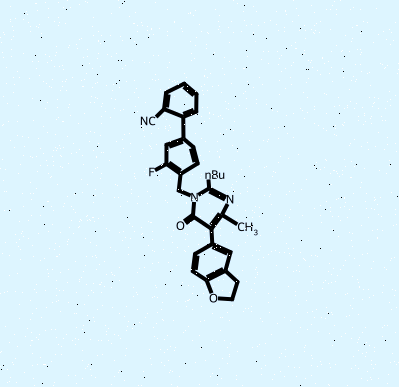 CCCCc1nc(C)c(-c2ccc3c(c2)CCO3)c(=O)n1Cc1ccc(-c2ccccc2C#N)cc1F